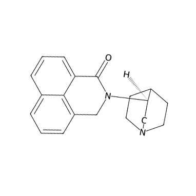 O=C1c2cccc3cccc(c23)CN1[C@@H]1CN2CCC1CC2